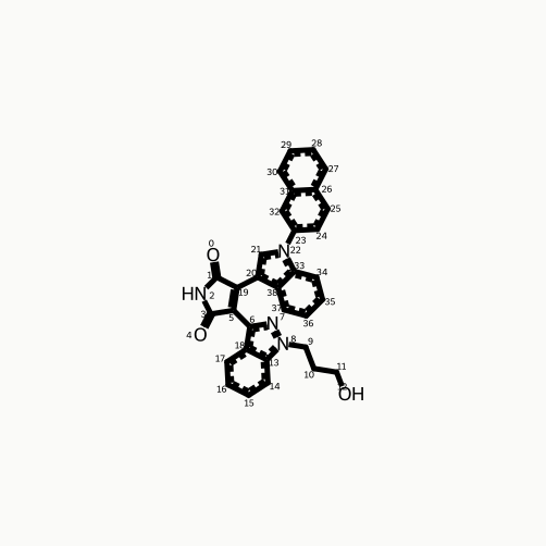 O=C1NC(=O)C(c2nn(CCCO)c3ccccc23)=C1c1cn(-c2ccc3ccccc3c2)c2ccccc12